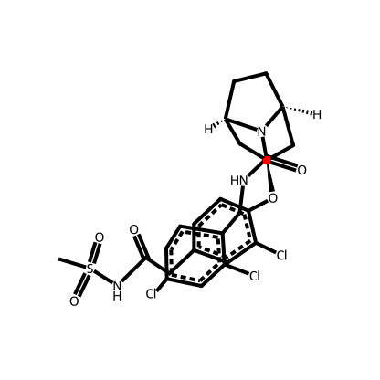 CS(=O)(=O)NC(=O)Cc1ccc(O[C@H]2C[C@H]3CC[C@@H](C2)N3C(=O)NCc2ccc(Cl)cc2Cl)c(Cl)c1